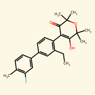 CCc1cc(-c2ccc(C)c(F)c2)ccc1C1=C(O)C(C)(C)OC(C)(C)C1=O